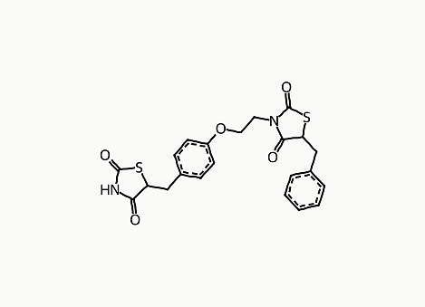 O=C1NC(=O)C(Cc2ccc(OCCN3C(=O)SC(Cc4ccccc4)C3=O)cc2)S1